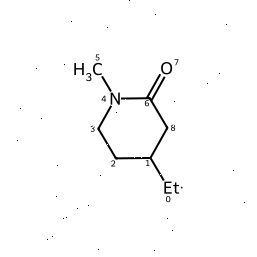 C[CH]C1CCN(C)C(=O)C1